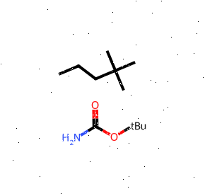 CC(C)(C)OC(N)=O.CCCC(C)(C)C